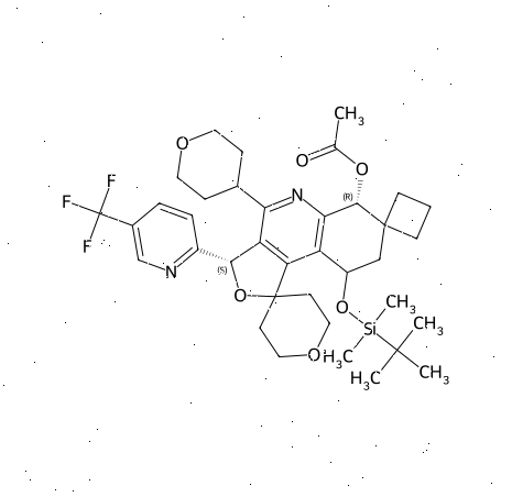 CC(=O)O[C@H]1c2nc(C3CCOCC3)c3c(c2C(O[Si](C)(C)C(C)(C)C)CC12CCC2)C1(CCOCC1)O[C@@H]3c1ccc(C(F)(F)F)cn1